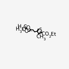 CCOC(=O)c1scc(CC[C@H]2COC(C)(C)O2)c1C